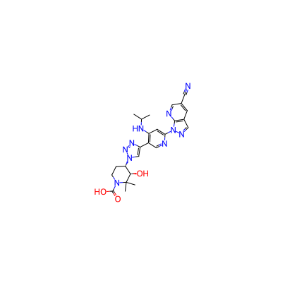 CC(C)Nc1cc(-n2ncc3cc(C#N)cnc32)ncc1-c1cn([C@@H]2CCN(C(=O)O)C(C)(C)[C@@H]2O)nn1